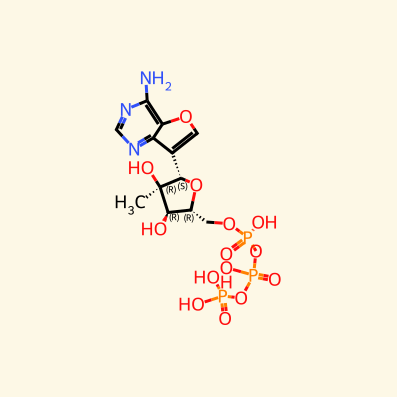 C[C@@]1(O)[C@H](O)[C@@H](COP(=O)(O)OP(=O)(O)OP(=O)(O)O)O[C@H]1c1coc2c(N)ncnc12